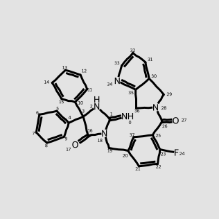 N=C1NC(c2ccccc2)(c2ccccc2)C(=O)N1Cc1ccc(F)c(C(=O)N2Cc3cccnc3C2)c1